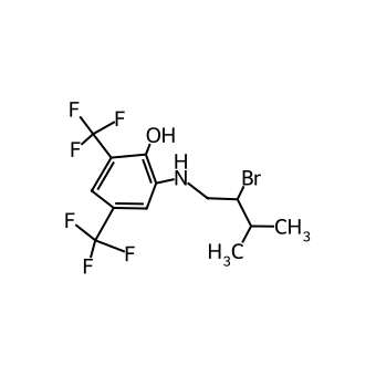 CC(C)C(Br)CNc1cc(C(F)(F)F)cc(C(F)(F)F)c1O